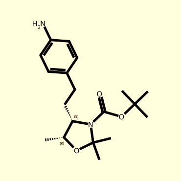 C[C@H]1OC(C)(C)N(C(=O)OC(C)(C)C)[C@H]1CCc1ccc(N)cc1